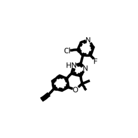 C#Cc1ccc2c(c1)OC(C)(C)c1nc(-c3c(F)cncc3Cl)[nH]c1-2